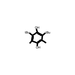 Cc1c(O)c(C)c(C(C)(C)C)c(O)c1C(C)(C)C